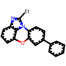 CCc1nc2cccc3c2n1-c1ccc(-c2ccccc2)cc1O3